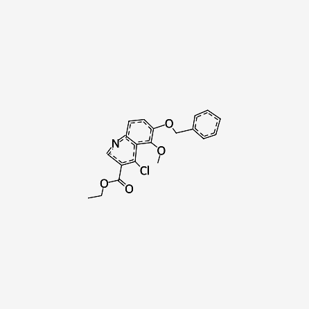 CCOC(=O)c1cnc2ccc(OCc3ccccc3)c(OC)c2c1Cl